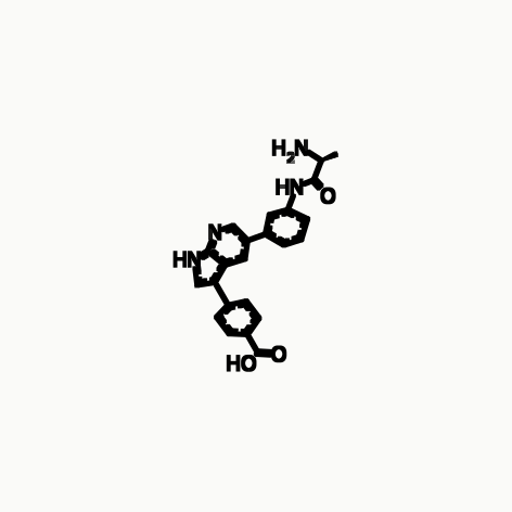 C[C@H](N)C(=O)Nc1cccc(-c2cnc3[nH]cc(-c4ccc(C(=O)O)cc4)c3c2)c1